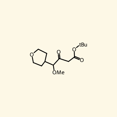 COC(C(=O)CC(=O)OC(C)(C)C)C1CCOCC1